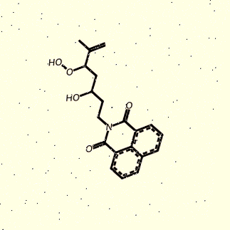 C=C(C)C(CC(O)CCN1C(=O)c2cccc3cccc(c23)C1=O)OO